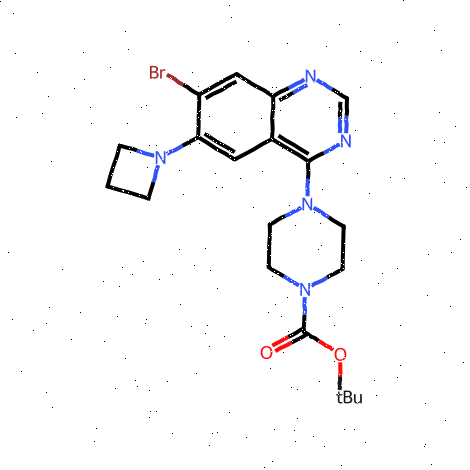 CC(C)(C)OC(=O)N1CCN(c2ncnc3cc(Br)c(N4CCC4)cc23)CC1